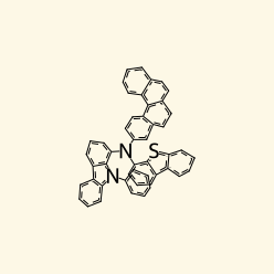 c1ccc(-n2c3ccccc3c3cccc(N(c4ccc5c(ccc6ccc7ccccc7c65)c4)c4cccc5c4sc4ccccc45)c32)cc1